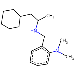 CC(CC1CCCCC1)NCc1ccccc1N(C)C